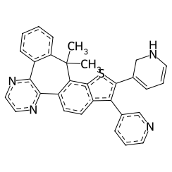 CC1(C)c2ccccc2-c2nccnc2-c2ccc3c(-c4cccnc4)c(C4=CC=CNC4)sc3c21